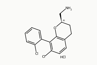 Cl.NC[C@H]1CCc2ccc(Cl)c(-c3ccccc3Cl)c2O1